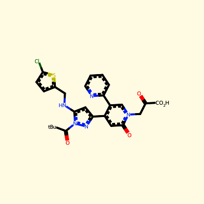 CC(C)(C)C(=O)n1nc(-c2cc(=O)n(CC(=O)C(=O)O)cc2-c2ccccn2)cc1NCc1ccc(Cl)s1